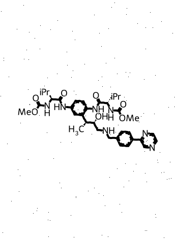 COC(=O)N[C@H](C(=O)Nc1ccc(NC(=O)[C@@H](NC(=O)OC)C(C)C)c([C@H](C)[C@H](O)CNCc2ccc(-c3cnccn3)cc2)c1)C(C)C